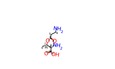 C[C@@H](OC(=O)CCN)[C@H](N)C(=O)O